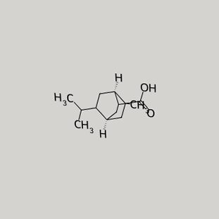 CC(C)C1C[C@H]2C(C)C[C@@H]1CC2C(=O)O